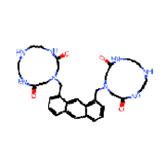 O=C1CN(Cc2cccc3cc4cccc(CN5CC(=O)NCCNCCNC(=O)C5)c4cc23)CC(=O)NCCNCCN1